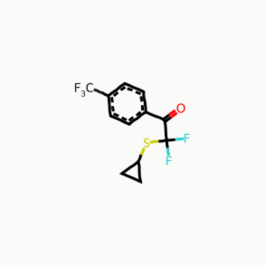 O=C(c1ccc(C(F)(F)F)cc1)C(F)(F)SC1CC1